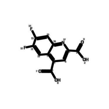 O=C(O)c1cc(C(=O)O)c2cc(F)c(F)cc2n1